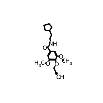 C#CCOc1c(OC)cc(C(=O)NCCC2CCCC2)cc1OC